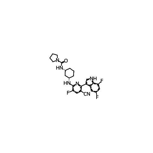 N#Cc1cc(F)c(N[C@H]2CCC[C@@H](NC(=O)N3CCCC3)C2)nc1-c1c[nH]c2c(F)cc(F)cc12